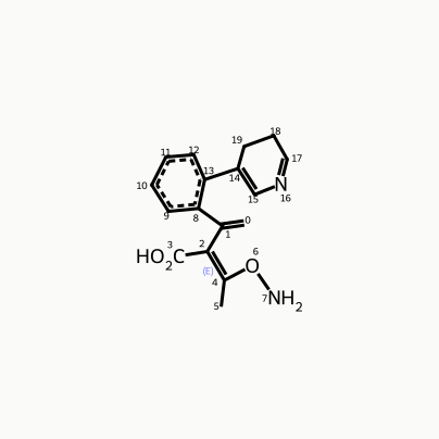 C=C(/C(C(=O)O)=C(/C)ON)c1ccccc1C1=CN=CCC1